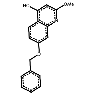 COc1cc(O)c2ccc(OCc3ccccc3)cc2n1